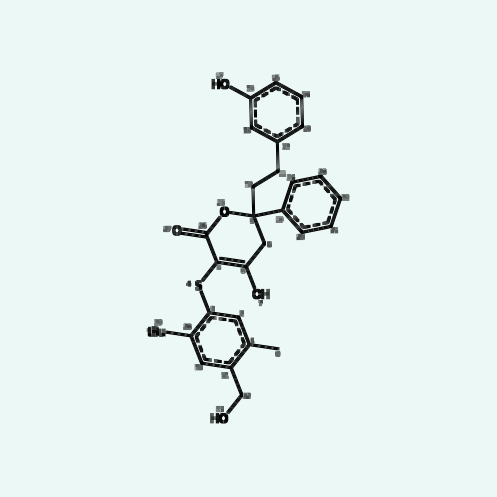 Cc1cc(SC2=C(O)CC(CCc3cccc(O)c3)(c3ccccc3)OC2=O)c(C(C)(C)C)cc1CO